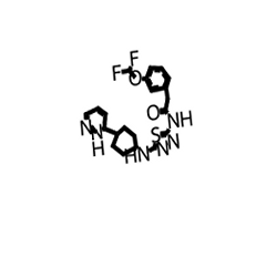 O=C(Cc1cccc(OC(F)F)c1)Nc1nnc(NC2CCC(C3C=CC=NN3)CC2)s1